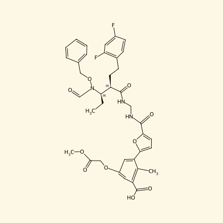 CC[C@H]([C@@H](CCc1ccc(F)cc1F)C(=O)NCNC(=O)c1ccc(-c2cc(OCC(=O)OC)cc(C(=O)O)c2C)o1)N(C=O)OCc1ccccc1